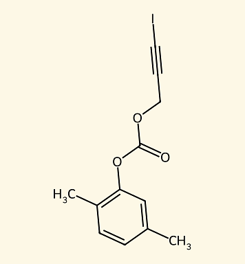 Cc1ccc(C)c(OC(=O)OCC#CI)c1